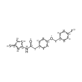 O=C(Cc1ccc(OCc2ccc(F)cc2)cc1)Nc1nc(=S)ss1